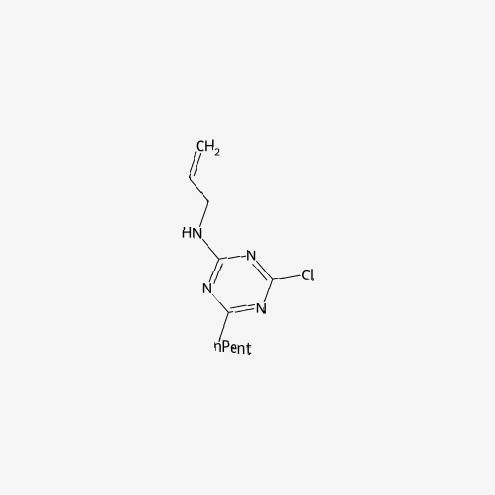 C=CCNc1nc(Cl)nc(CCCCC)n1